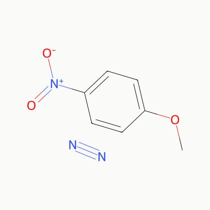 COc1ccc([N+](=O)[O-])cc1.N#N